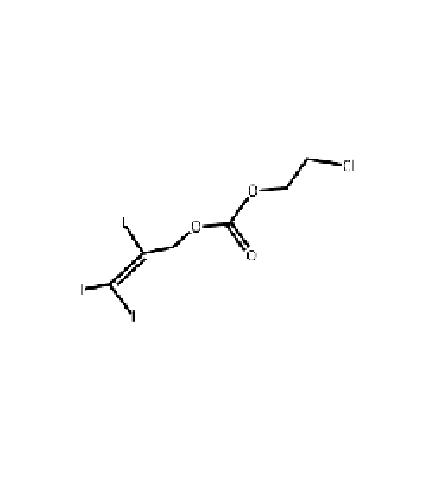 O=C(OCCCl)OCC(I)=C(I)I